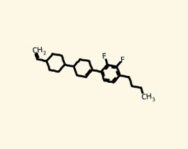 C=CC1CCC(C2CC=C(c3ccc(CCCC)c(F)c3F)CC2)CC1